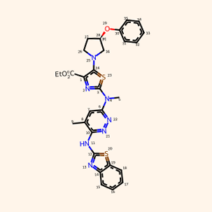 CCOC(=O)c1nc(N(C)c2cc(C)c(Nc3nc4ccccc4s3)nn2)sc1N1CC[C@@H](Oc2ccccc2)C1